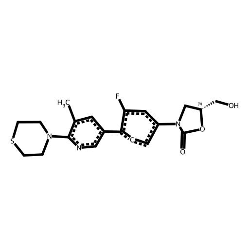 Cc1cc(-c2ccc(N3C[C@H](CO)OC3=O)cc2F)cnc1N1CCSCC1